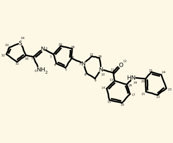 N/C(=N\c1ccc(N2CCN(C(=O)c3ccccc3Nc3ccccc3)CC2)cc1)c1cccs1